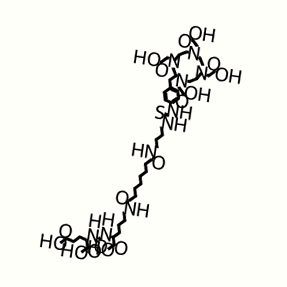 O=C(O)CCC(NC(=O)NC(CCCCNC(=O)CCCCCCC(=O)NCCCCNC(=S)Nc1ccc(CC2CN(CC(=O)O)CCN(CC(=O)O)CCN(CC(=O)O)CCN2CC(=O)O)cc1)C(=O)O)C(=O)O